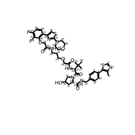 Cc1ncsc1-c1ccc(CNC(=O)[C@@H]2C[C@@H](O)CN2C(=O)[C@@H](NC(=O)COCCCNC(=O)COc2c(-c3csc(N4CCOCC4)n3)ccc(F)c2F)C(C)(C)C)cc1